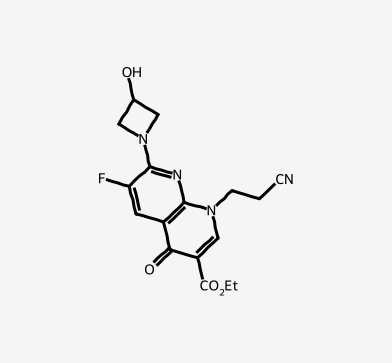 CCOC(=O)c1cn(CCC#N)c2nc(N3CC(O)C3)c(F)cc2c1=O